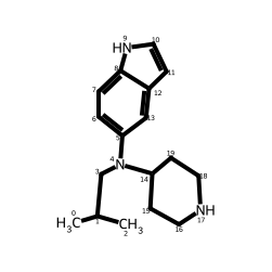 CC(C)CN(c1ccc2[nH]ccc2c1)C1CCNCC1